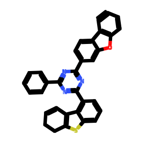 c1ccc2oc3cc(-c4nc(-c5ccccc5)nc(-c5cccc6sc7c(c56)C=CCC7)n4)ccc3c2c#1